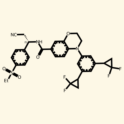 CCS(=O)(=O)c1ccc([C@H](CC#N)NC(=O)c2ccc3c(c2)OCCN3c2cc(C3CC3(F)F)cc(C3CC3(F)F)c2)cc1